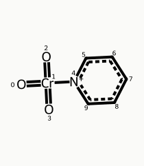 [O]=[Cr](=[O])(=[O])[n+]1ccccc1